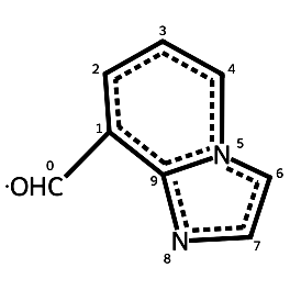 O=[C]c1cccn2ccnc12